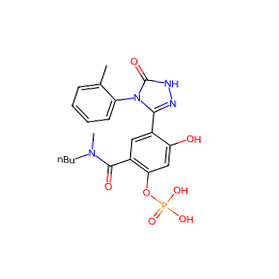 CCCCN(C)C(=O)c1cc(-c2n[nH]c(=O)n2-c2ccccc2C)c(O)cc1OP(=O)(O)O